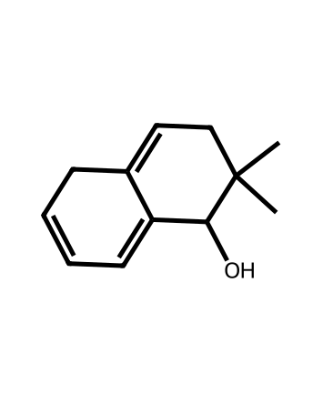 CC1(C)CC=C2CC=CC=C2C1O